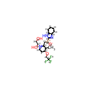 Cc1c(OCC(F)(F)F)ccnc1C[S@@+]([O-])c1nc2ccccc2[nH]1.OCCO